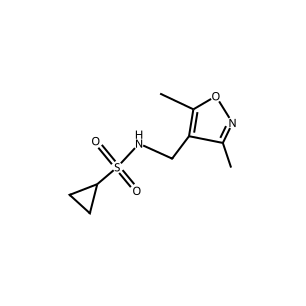 Cc1noc(C)c1CNS(=O)(=O)C1CC1